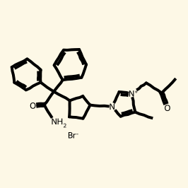 CC(=O)C[n+]1cn(C2CCC(C(C(N)=O)(c3ccccc3)c3ccccc3)C2)cc1C.[Br-]